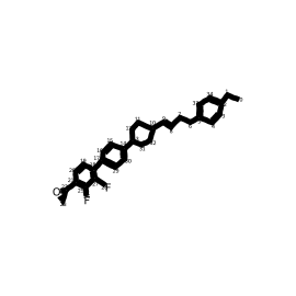 CCc1ccc(CC/C=C/C2CCC(c3ccc(-c4ccc(C5CO5)c(F)c4F)cc3)CC2)cc1